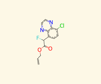 C=CCOC(=O)C(F)c1ccc(Cl)c2nccnc12